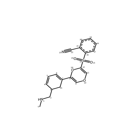 CNCC1C=CC=C(C2=COC=C(S(=O)(=O)c3ccccc3C#N)O2)C1